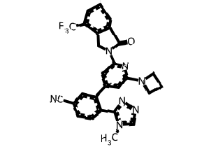 Cn1cnnc1-c1ccc(C#N)cc1-c1cc(N2CCC2)nc(N2Cc3c(cccc3C(F)(F)F)C2=O)c1